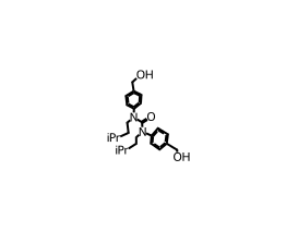 CC(C)CCN(C(=O)N(CCC(C)C)c1ccc(CO)cc1)c1ccc(CO)cc1